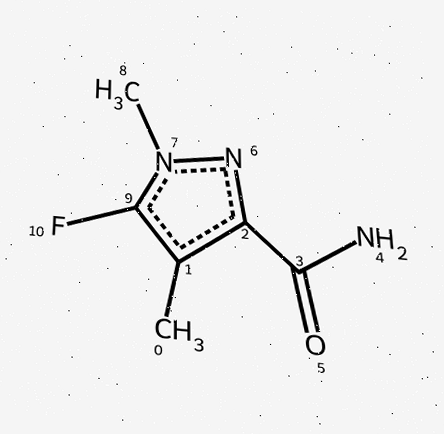 Cc1c(C(N)=O)nn(C)c1F